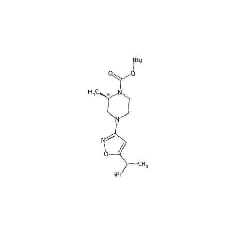 CC(C)C(C)c1cc(N2CCN(C(=O)OC(C)(C)C)[C@H](C)C2)no1